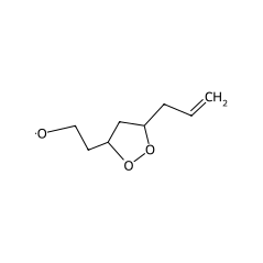 C=CCC1CC(CC[O])OO1